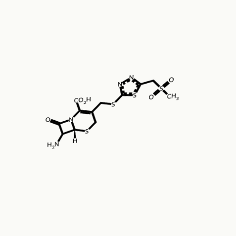 CS(=O)(=O)Cc1nnc(SCC2=C(C(=O)O)N3C(=O)C(N)[C@H]3SC2)s1